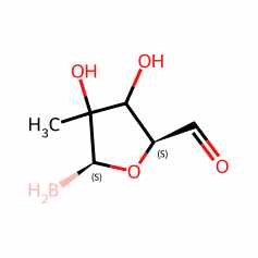 B[C@@H]1O[C@H](C=O)C(O)C1(C)O